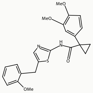 COc1ccccc1Cc1cnc(NC(=O)C2(c3ccc(OC)c(OC)c3)CC2)s1